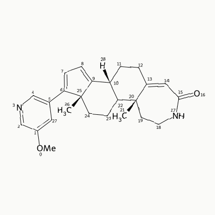 COc1cncc(C2=CC=C3[C@@H]4CCC5=CC(=O)NCC[C@]5(C)C4CC[C@]23C)c1